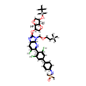 CC(C)(C)[Si](C)(C)O[C@@H]1CO[C@H]2[C@@H]1OC[C@H]2Oc1nc2cc(F)c(-c3c(F)cc(-c4ccc(N=S(C)(C)=O)cc4)cc3F)nc2n1COCC[Si](C)(C)C